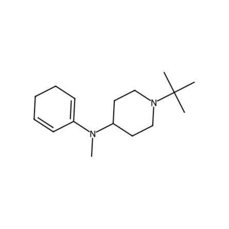 CN(C1=CCCC=C1)C1CCN(C(C)(C)C)CC1